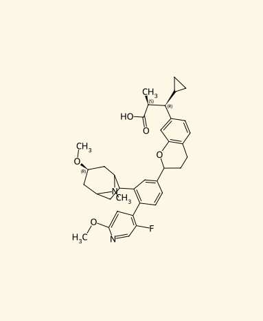 COc1cc(-c2ccc(C3CCc4ccc([C@H](C5CC5)[C@H](C)C(=O)O)cc4O3)cc2C2CC3C[C@@H](OC)CC2N3C)c(F)cn1